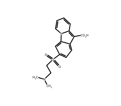 CN(C)CCS(=O)(=O)c1ccc2c(C(=O)O)c3ccccn3c2c1